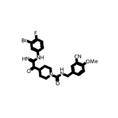 COc1ccc(CNC(=O)N2CCC(C(=O)C(=N)Nc3ccc(F)c(Br)c3)CC2)cc1C#N